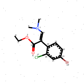 CCOC(=O)C(=CN(C)C)c1ccc(Br)cc1Cl